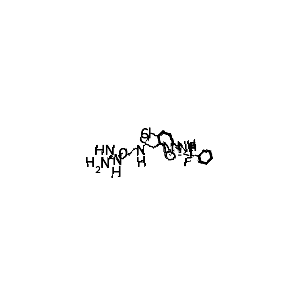 N=C(N)NOCCNC(=O)Cc1c(Cl)ccc(NCC(F)(F)c2ccccc2)[n+]1[O-]